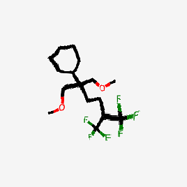 COCC(CCC(C(F)(F)F)C(F)(F)F)(COC)C1CCCCC1